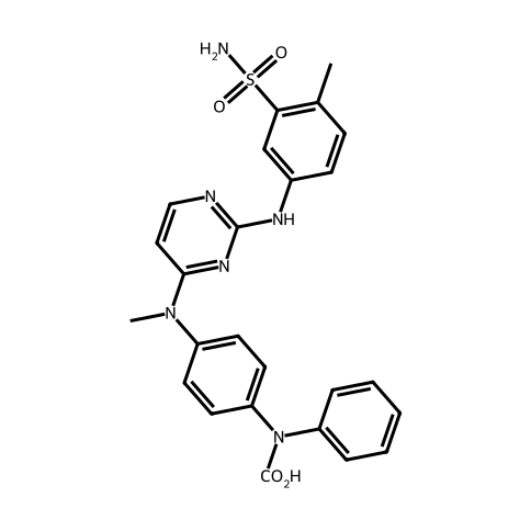 Cc1ccc(Nc2nccc(N(C)c3ccc(N(C(=O)O)c4ccccc4)cc3)n2)cc1S(N)(=O)=O